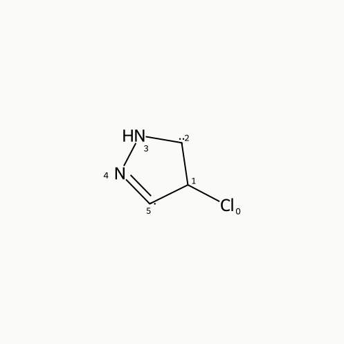 ClC1[C]NN=[C]1